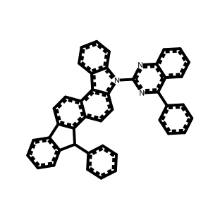 c1ccc(-c2nc(-n3c4ccccc4c4c5ccc6c(c5ccc43)C(c3ccccc3)c3ccccc3-6)nc3ccccc23)cc1